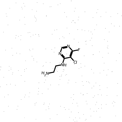 NCCNc1ncnc(F)c1Cl